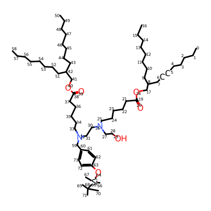 CCCCCCCCC(CCCCCCCC)COC(=O)CCCCCN(CCO)CCN(CCCCCC(=O)OCC(CCCCCCCC)CCCCCCCC)Cc1ccc(O[Si](C)(C)C(C)(C)C)cc1